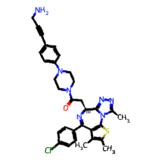 Cc1sc2c(c1C)C(c1ccc(Cl)cc1)=N[C@@H](CC(=O)N1CCN(c3ccc(C#CCN)cc3)CC1)c1nnc(C)n1-2